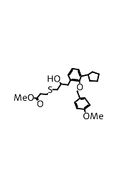 COC(=O)CCSCC(O)Cc1cccc(C2CCCC2)c1OCc1ccc(OC)cc1